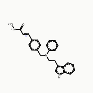 O=C(/C=C/c1ccc(CN(CCc2c[nH]c3ccccc23)c2ccccc2)cc1)NO